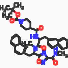 CNC(=O)c1noc(C(Cc2ccc3ccccc3c2)N(C)C(=O)C(Cc2ccc3ccccc3c2)NC(=O)C2CCN(C(=O)OC(C)(C)C)CC2)n1